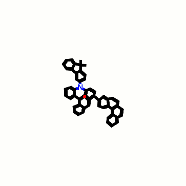 CC1(C)c2ccccc2-c2cc(N(c3ccc(-c4ccc5c(ccc6ccc7ccccc7c65)c4)cc3)c3ccccc3-c3cccc4ccccc34)ccc21